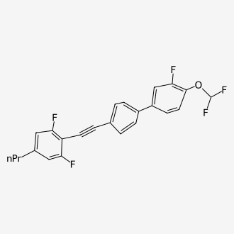 CCCc1cc(F)c(C#Cc2ccc(-c3ccc(OC(F)F)c(F)c3)cc2)c(F)c1